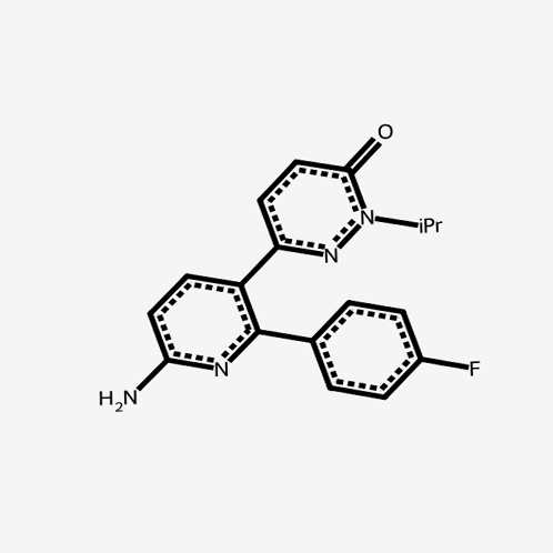 CC(C)n1nc(-c2ccc(N)nc2-c2ccc(F)cc2)ccc1=O